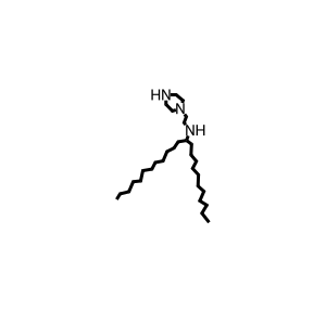 CCCCCCCCCCCCC(CCCCCCCCCCC)NCCN1CCNCC1